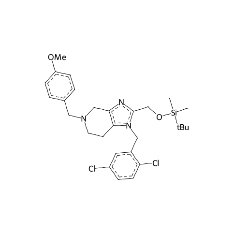 COc1ccc(CN2CCc3c(nc(CO[Si](C)(C)C(C)(C)C)n3Cc3cc(Cl)ccc3Cl)C2)cc1